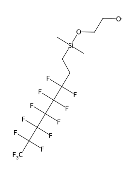 C[Si](C)(CCC(F)(F)C(F)(F)C(F)(F)C(F)(F)C(F)(F)C(F)(F)F)OCC[O]